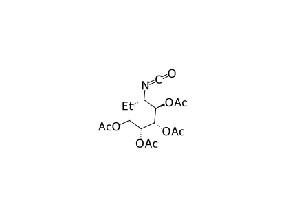 CC[C@H](N=C=O)[C@@H](OC(C)=O)[C@H](OC(C)=O)[C@@H](COC(C)=O)OC(C)=O